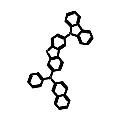 c1ccc(N(c2ccc3ccccc3c2)c2ccc3c(c2)sc2ccc(-n4c5ccccc5c5ccccc54)cc23)cc1